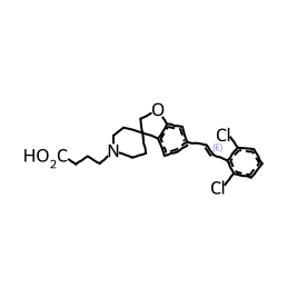 O=C(O)CCCN1CCC2(CC1)COc1cc(/C=C/c3c(Cl)cccc3Cl)ccc12